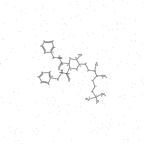 CC(CCCC(C)(C)Cl)C(Cl)CCC1CC(C(=O)NCc2ccccc2)C(C(=O)NCc2ccccc2)CC1Cl